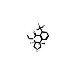 CCN1C(=O)c2c(cccc2C(F)(F)F)[C@@H]2CNC[C@@H]21